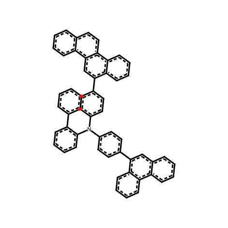 c1ccc(-c2ccccc2N(c2ccc(-c3cc4ccccc4c4ccccc34)cc2)c2ccc(-c3cc4c5ccccc5ccc4c4ccccc34)cc2)cc1